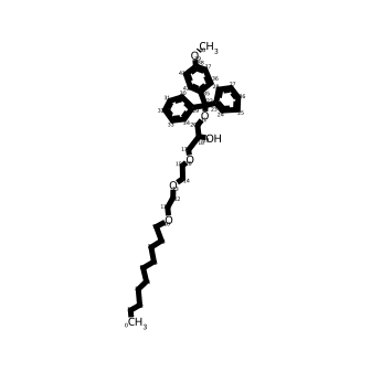 CCCCCCCCCCOCCOCCOCC(O)COC(c1ccccc1)(c1ccccc1)c1ccc(OC)cc1